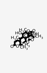 C=C1[C@]23C(=O)O[C@@H](C)[C@]2(O)C(=O)O[C@@]1(C)[C@H](O)C1=C(C)[C@@]2(C=CC(=O)OC2(C)C)CC[C@]13C